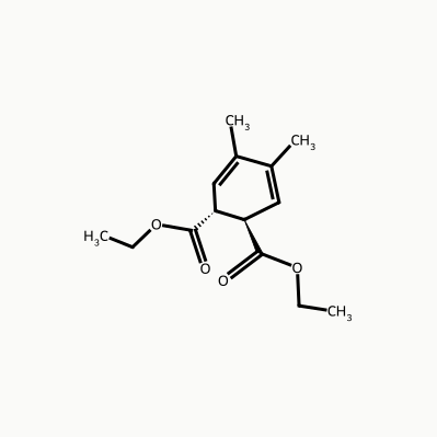 CCOC(=O)[C@@H]1C=C(C)C(C)=C[C@H]1C(=O)OCC